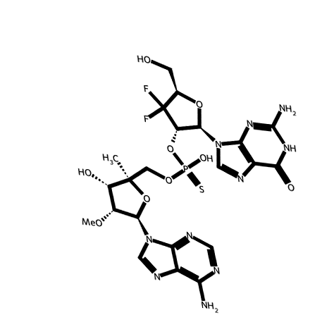 CO[C@H]1[C@H](n2cnc3c(N)ncnc32)O[C@](C)(COP(O)(=S)O[C@H]2[C@H](n3cnc4c(=O)[nH]c(N)nc43)O[C@H](CO)C2(F)F)[C@H]1O